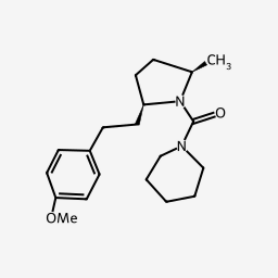 COc1ccc(CC[C@H]2CC[C@@H](C)N2C(=O)N2CCCCC2)cc1